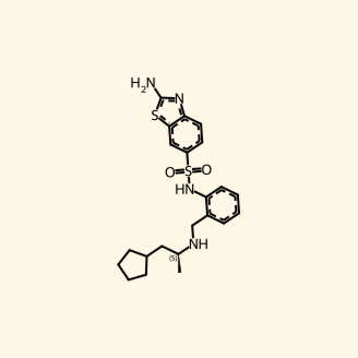 C[C@@H](CC1CCCC1)NCc1ccccc1NS(=O)(=O)c1ccc2nc(N)sc2c1